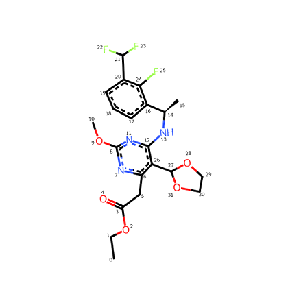 CCOC(=O)Cc1nc(OC)nc(N[C@H](C)c2cccc(C(F)F)c2F)c1C1OCCO1